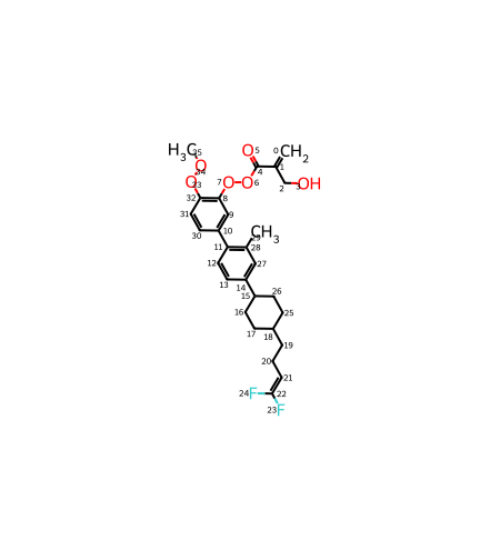 C=C(CO)C(=O)OOc1cc(-c2ccc(C3CCC(CCC=C(F)F)CC3)cc2C)ccc1OOC